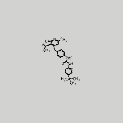 Cc1cc(Cc2ccc(NC(=O)Nc3ccc(C(C)(C)C)cc3)cc2)c2c(N)noc2n1